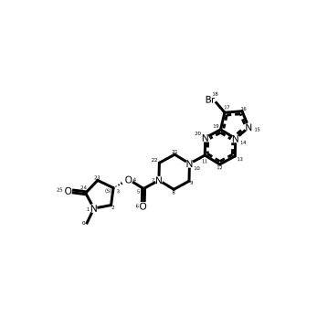 CN1C[C@@H](OC(=O)N2CCN(c3ccn4ncc(Br)c4n3)CC2)CC1=O